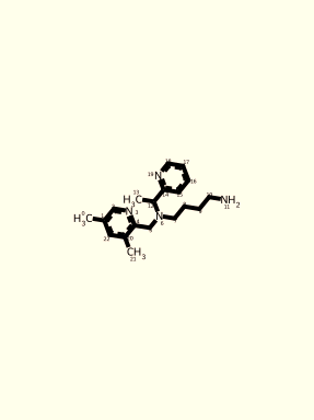 Cc1cnc(CN(CCCCN)C(C)c2ccccn2)c(C)c1